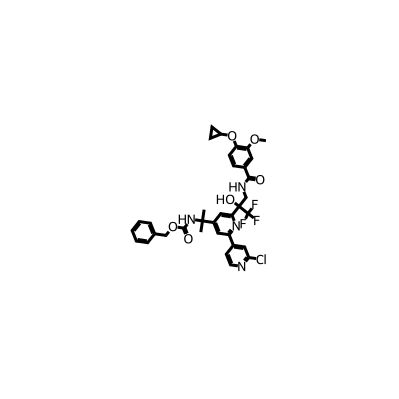 COc1cc(C(=O)NCC(O)(c2cc(C(C)(C)NC(=O)OCc3ccccc3)cc(-c3ccnc(Cl)c3)n2)C(F)(F)F)ccc1OC1CC1